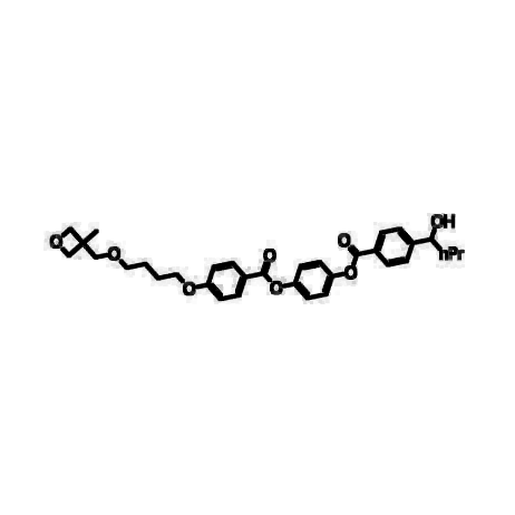 CCCC(O)c1ccc(C(=O)Oc2ccc(OC(=O)c3ccc(OCCCCOCC4(C)COC4)cc3)cc2)cc1